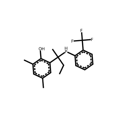 CCC(C)(Pc1ccccc1C(F)(F)F)c1cc(C)cc(C)c1O